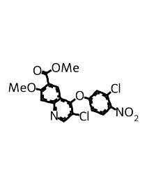 COC(=O)c1cc2c(Oc3ccc([N+](=O)[O-])c(Cl)c3)c(Cl)cnc2cc1OC